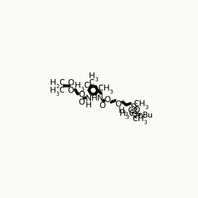 C=C(C)C(=O)OCCOC(=O)NC1CC(C)(C)CC(C)(CNC(=O)OCCOCCC[Si](C)(C)O[Si](C)(C)CCCC)C1